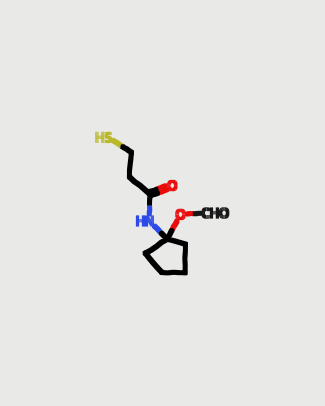 O=COC1(NC(=O)CCS)CCCC1